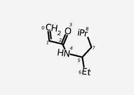 C=CC(=O)NC(CC)CC(C)C